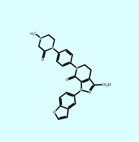 CCOC(=O)c1nn(-c2ccc3occc3c2)c2c1CCN(c1ccc(N3CCN(C)CC3=O)cc1)C2=O